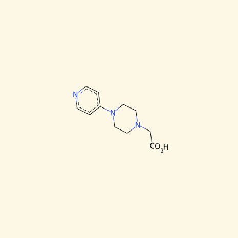 O=C(O)CN1CCN(c2ccncc2)CC1